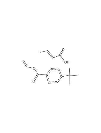 C=COC(=O)c1ccc(C(C)(C)C)cc1.CC=CC(=O)O